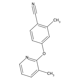 Cc1cc(Oc2ncccc2C)ccc1C#N